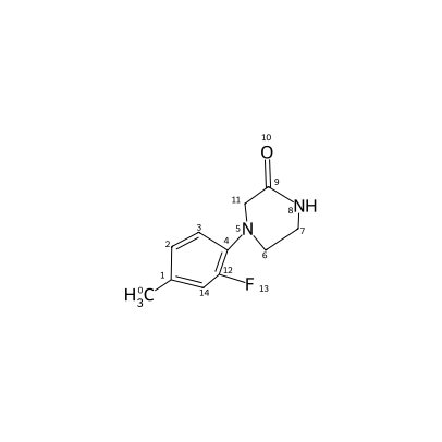 Cc1ccc(N2CCNC(=O)C2)c(F)c1